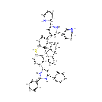 c1ccc(-c2cc(-c3ccc4c(c3)C3(c5cc(-c6cc(-c7cccnc7)nc(-c7ccccn7)c6)ccc5S4)c4ccccc4-c4ccccc43)nc(-c3ccccc3)n2)cc1